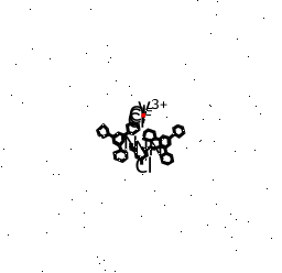 Clc1cc(C=Nc2c(C3CCCCC3)cc(C3CCCCC3)cc2C2CCCCC2)nc(C=Nc2c(C3CCCCC3)cc(C3CCCCC3)cc2C2CCCCC2)c1.[Cl-].[Cl-].[Cl-].[V+3]